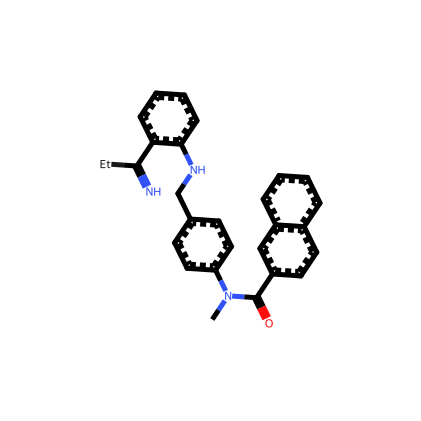 CCC(=N)c1ccccc1NCc1ccc(N(C)C(=O)c2ccc3ccccc3c2)cc1